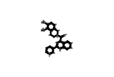 O=C(c1nc(-c2cccnc2)nc2ccccc12)N1CCc2c(ccc(O)c2O)C1